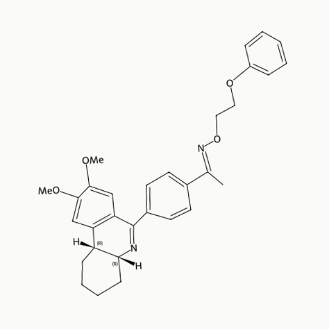 COc1cc2c(cc1OC)[C@H]1CCCC[C@H]1N=C2c1ccc(C(C)=NOCCOc2ccccc2)cc1